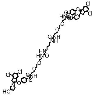 O=C(NCCCCNC(=O)NCCOCCOCCNS(=O)(=O)c1ccc(O[C@H]2c3cc(Cl)cc(Cl)c3C[C@@H]2N2CC[C@@H](O)C2)cc1)NCCOCCOCCNS(=O)(=O)c1ccc(O[C@H]2c3cc(Cl)cc(Cl)c3CC2N2CC[C@@H](O)C2)cc1